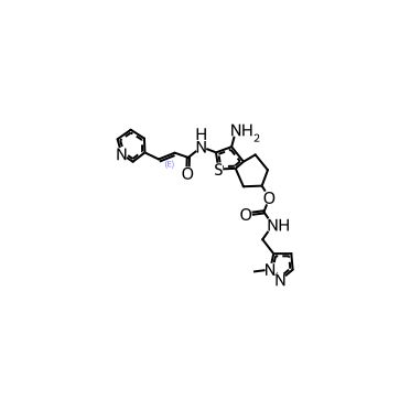 Cn1nccc1CNC(=O)OC1CCc2c(sc(NC(=O)/C=C/c3cccnc3)c2N)C1